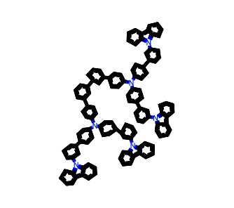 c1cc(-c2ccc(N(c3ccc(-c4cccc(-n5c6ccccc6c6ccccc65)c4)cc3)c3ccc(-c4cccc(-n5c6ccccc6c6ccccc65)c4)cc3)cc2)cc(-c2cccc(-c3ccc(N(c4ccc(-c5cccc(-n6c7ccccc7c7ccccc76)c5)cc4)c4ccc(-c5cccc(-n6c7ccccc7c7ccccc76)c5)cc4)cc3)c2)c1